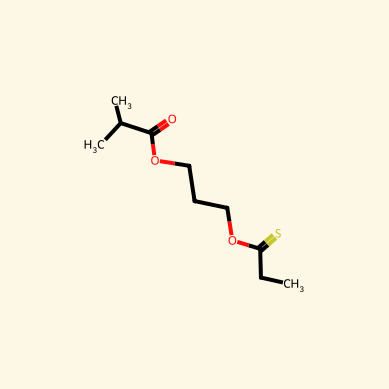 CCC(=S)OCCCOC(=O)C(C)C